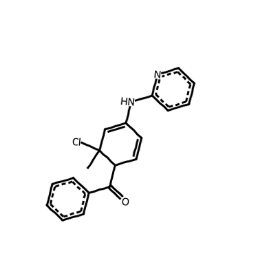 CC1(Cl)C=C(Nc2ccccn2)C=CC1C(=O)c1ccccc1